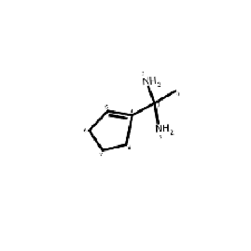 CC(N)(N)C1=CCCC1